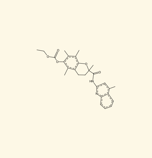 CCOC(=O)Oc1c(C)c(C)c2c(c1C)CCC(C)(C(=O)Nc1cc(C)c3ccccc3n1)O2